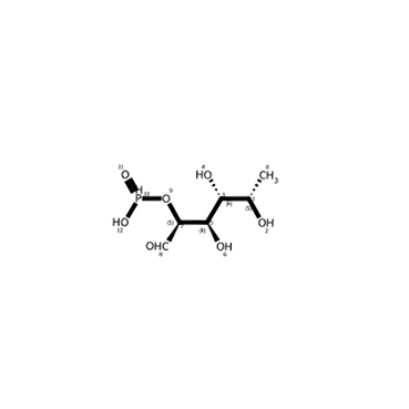 C[C@H](O)[C@@H](O)[C@@H](O)[C@@H](C=O)O[PH](=O)O